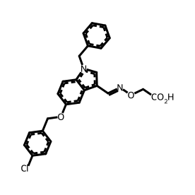 O=C(O)CON=Cc1cn(Cc2ccccc2)c2ccc(OCc3ccc(Cl)cc3)cc12